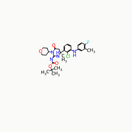 Cc1cc(Nc2cccc([C@]3(C)CC(=O)N(C4CCOCC4)C(=NC(=O)OC(C)(C)C)N3)c2Cl)ccc1F